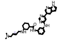 CN(C)C/C=C/CNC1CCCC(C(=O)Nc2cccc(Nc3cc(-c4cnc5[nH]ccc5c4)ncn3)c2)C1